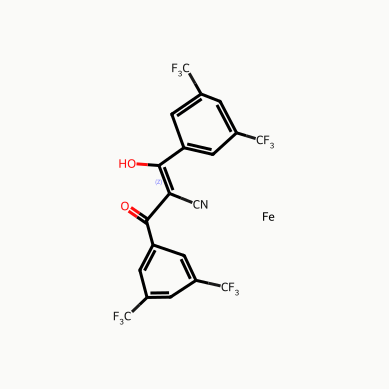 N#C/C(C(=O)c1cc(C(F)(F)F)cc(C(F)(F)F)c1)=C(/O)c1cc(C(F)(F)F)cc(C(F)(F)F)c1.[Fe]